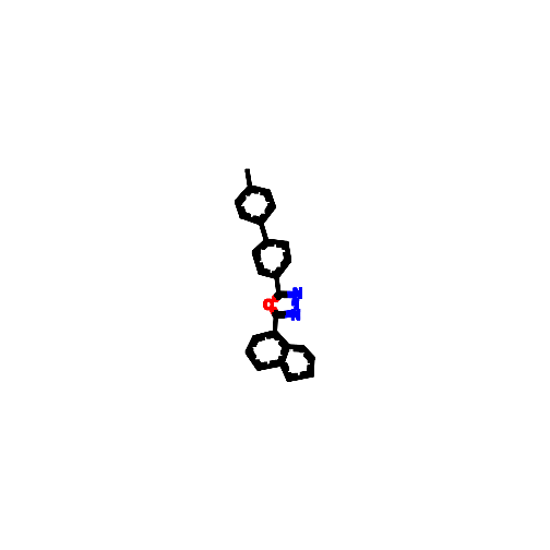 Cc1ccc(-c2ccc(-c3nnc(-c4cccc5ccccc45)o3)cc2)cc1